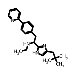 CCNC(Cc1ccc(-c2ccccn2)cc1)c1nc(CC(C)(C)C)c[nH]1